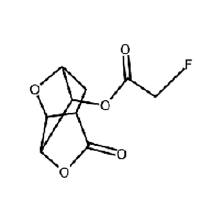 O=C(CF)OC1C2CC3C(=O)OC1C3O2